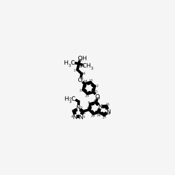 CCn1cnnc1-c1cc(Oc2ccc(OCCC(C)(C)O)cc2)n2cncc2c1